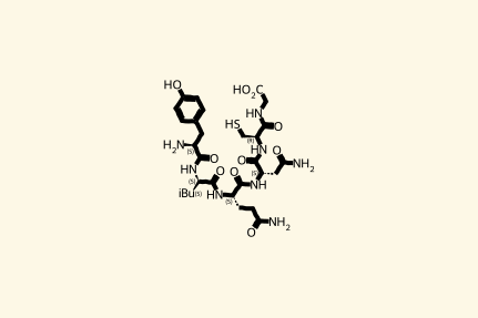 CC[C@H](C)[C@H](NC(=O)[C@@H](N)Cc1ccc(O)cc1)C(=O)N[C@@H](CCC(N)=O)C(=O)N[C@@H](CC(N)=O)C(=O)N[C@@H](CS)C(=O)NCC(=O)O